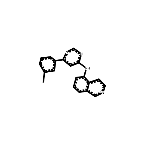 Cc1cccc(-c2cc(Nc3cccc4cnccc34)ncn2)c1